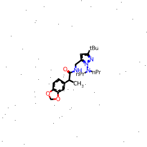 CCCN(CCC)n1nc(C(C)(C)C)cc1CNC(=O)C(C)c1ccc2c(c1)OCO2